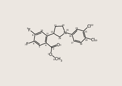 COC(=O)c1cc(F)c(F)cc1C1CCN(c2ccc(Cl)c(Cl)c2)C1